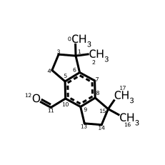 CC1(C)CCc2c1cc1c(c2C=O)CCC1(C)C